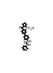 O=C(Nc1ccc(-c2ccc(C(=O)C3CCCC3C(=O)O)cc2)cc1)Nc1cccnc1